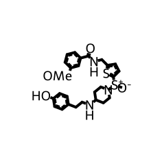 COc1cccc(C(=O)NCc2ccc([S+]([O-])N3CCC(NCCc4ccc(O)cc4)CC3)s2)c1